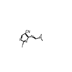 CN(C)/C=N/c1nc(I)ncc1C#N